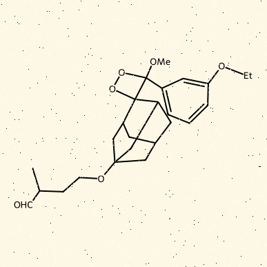 CCOc1cccc(C2(OC)OOC23C2CC4CC3CC(OCCC(C)C=O)(C4)C2)c1